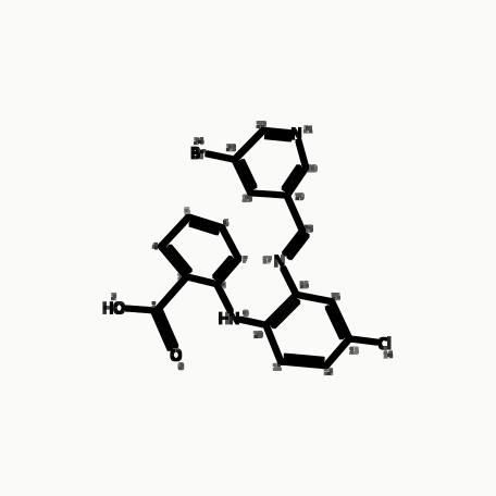 O=C(O)c1ccccc1Nc1ccc(Cl)cc1N=Cc1cncc(Br)c1